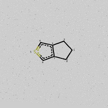 [C]1CCc2cscc21